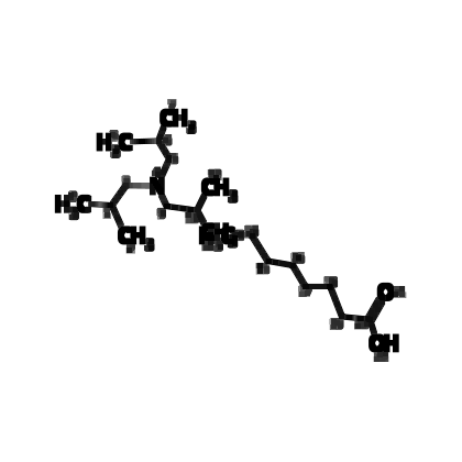 CC(C)CN(CC(C)C)CC(C)C.CCCCCCCC(=O)O